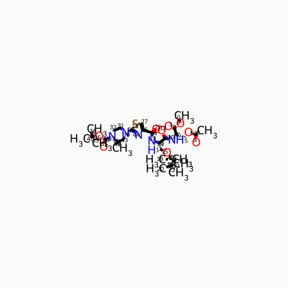 COC(=O)[C@H](COC(C)=O)NC(=O)[C@H](CO[Si](C)(C)C(C)(C)C)NC(=O)c1csc(N2CCN(C(=O)OC(C)(C)C)[C@@H](C)C2)n1